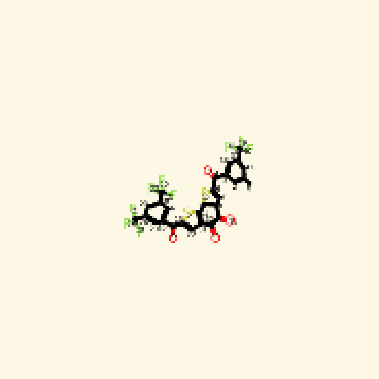 Cc1cc(C(=O)c2cc3c(s2)-c2sc(C(=O)c4cc(C(F)(F)F)cc(C(F)(F)F)c4)cc2C(=O)C3=O)cc(C(F)(F)F)c1